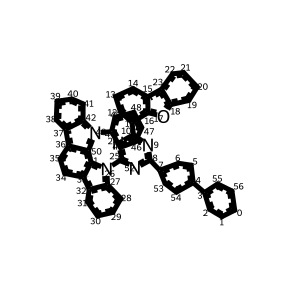 c1ccc(-c2ccc(-c3nc(-c4cccc5c4oc4ccccc45)nc(-n4c5ccccc5c5ccc6c7ccccc7n(-c7ccccc7)c6c54)n3)cc2)cc1